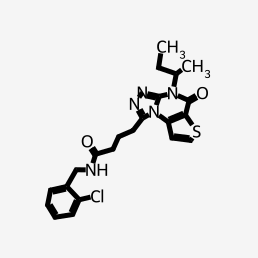 CCC(C)n1c(=O)c2sccc2n2c(CCCC(=O)NCc3ccccc3Cl)nnc12